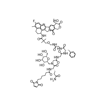 CC[C@@]1(O)C(=O)OCc2c1cc1n(c2=O)Cc2c-1nc1cc(F)c(C)c3c1c2[C@@H](NC(=O)C(C)(C)COCNC(=O)CNC(=O)[C@H](Cc1ccccc1)NC(=O)CNC(=O)CN(C[C@@H]1O[C@H](CO)[C@@H](O)[C@H](O)[C@H]1O)C(=O)[C@H](CCC(N)=O)NC(=O)CCCCCN1C(=O)C=CC1=O)CC3